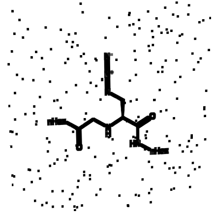 CCCCCCNC(=O)[C@H](CN=[N+]=[N-])NCC(=O)CCCCCC